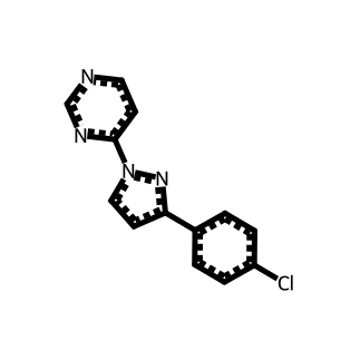 Clc1ccc(-c2ccn(-c3ccncn3)n2)cc1